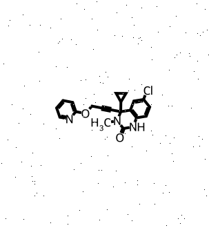 CN1C(=O)Nc2ccc(Cl)cc2C1(C#CCOc1ccccn1)C1CC1